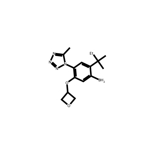 Bc1cc(OC2COC2)c(-n2nnnc2C)cc1C(C)(C)CC